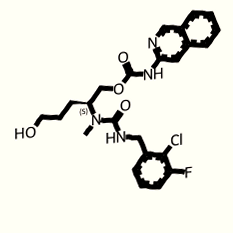 CN(C(=O)NCc1cccc(F)c1Cl)[C@@H](CCCO)COC(=O)Nc1cc2ccccc2cn1